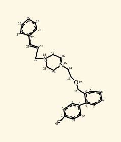 Fc1ccc(-c2ccccc2COCCN2CCN(CC=Cc3ccccc3)CC2)cc1